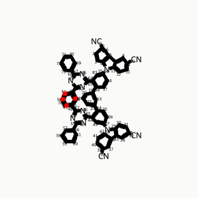 N#Cc1ccc2c(c1)c1cc(C#N)ccc1n2-c1ccc(-c2cccc(-c3ccc(-n4c5ccc(C#N)cc5c5cc(C#N)ccc54)cc3-c3nc(-c4ccccc4)nc(-c4ccccc4)n3)c2)c(-c2nc(-c3ccccc3)nc(-c3ccccc3)n2)c1